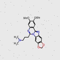 COc1cc2nc(CCCN(C)C)n3c4cc5c(cc4nc3c2cc1OC)OCO5